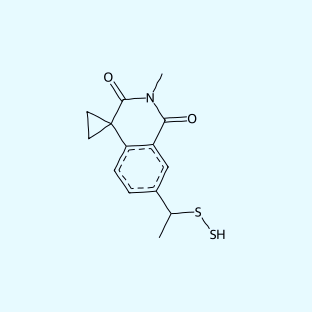 CC(SS)c1ccc2c(c1)C(=O)N(C)C(=O)C21CC1